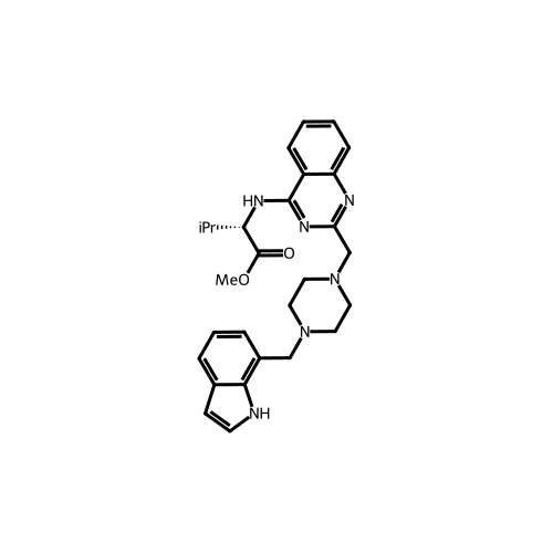 COC(=O)[C@@H](Nc1nc(CN2CCN(Cc3cccc4cc[nH]c34)CC2)nc2ccccc12)C(C)C